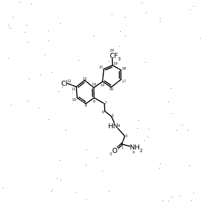 NC(=O)CNCCCc1ccc(Cl)cc1-c1cccc(C(F)(F)F)c1